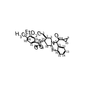 CCOC(=O)/C=C1/CN(C(C(=O)C2CC2)c2ccccc2F)CCC1SS(=O)(=O)c1ccc(C)cc1